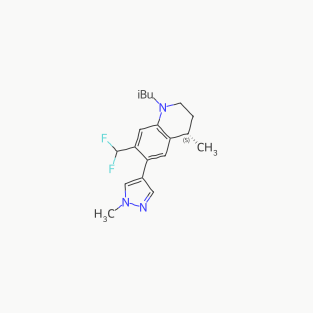 CCC(C)N1CC[C@H](C)c2cc(-c3cnn(C)c3)c(C(F)F)cc21